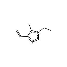 C=Cc1ncn(CC)c1C